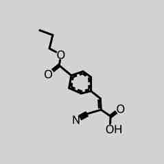 CCCOC(=O)c1ccc(/C=C(\C#N)C(=O)O)cc1